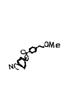 COCCc1ccc(C(=O)Oc2ccc(C#N)cc2)cc1